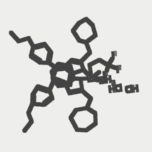 CCCc1ccc(-c2cccc3c2C=C(CC2CCCCCC2)[CH]3[Zr]([CH3])(=[SiH2])([CH2]CC(F)(F)F)[CH]2C(CC3CCCCCC3)=Cc3c(-c4ccc(CCC)cc4)cccc32)cc1.Cl.Cl